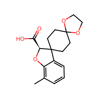 Cc1cccc2c1O[C@@H](C(=O)O)C21CCC2(CC1)OCCO2